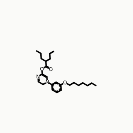 CCCCCCCOc1cccc(N2C=C(OC(=O)C(CCC)CCC)N=CC2)c1